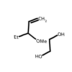 C=CC(CC)OC.OCCO